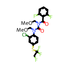 COCN(C(=O)c1c(F)cccc1F)C(=O)N(COC)c1ccc(SC(F)(F)CF)cc1Cl